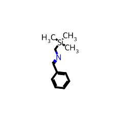 C[Si](C)(C)CN=Cc1ccccc1